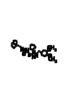 COc1ccc(Cc2nnc(SCC(=O)NN=Cc3ccco3)n2-c2ccccc2)cc1OC